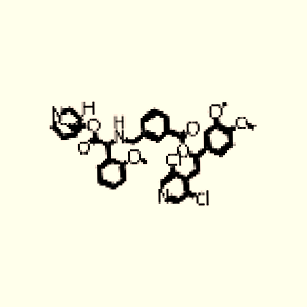 COc1ccc(C(Cc2c(Cl)cncc2Cl)OC(=O)c2cccc(CNC(C(=O)O[C@H]3CN4CCC3CC4)c3ccccc3OC)c2)cc1OC